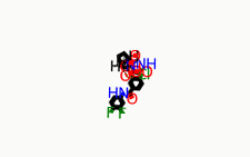 O=C(Nc1ccc(F)c(F)c1)c1ccc(Cl)c(S(=O)(=O)[C@@H]2C[C@H]3CC[C@@H](C2)[C@@]3(O)n2ccc(=O)[nH]c2=O)c1